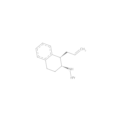 C=CC[C@@H]1c2ccccc2CC[C@@H]1NCCC